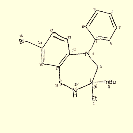 CCCC[C@@]1(CC)CN(c2ccccc2)c2ccc(Br)cc2SN1